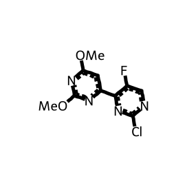 COc1cc(-c2nc(Cl)ncc2F)nc(OC)n1